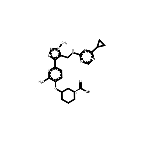 Cc1nc(-c2nnn(C)c2CNc2ncnc(C3CC3)n2)ccc1OC1CCC[C@H](C(=O)O)C1